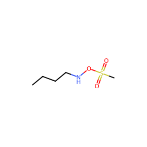 CCCCNOS(C)(=O)=O